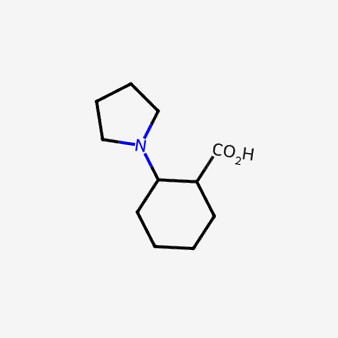 O=C(O)C1CCCCC1N1CCCC1